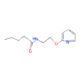 CCCCC(=O)NCCOc1ccccn1